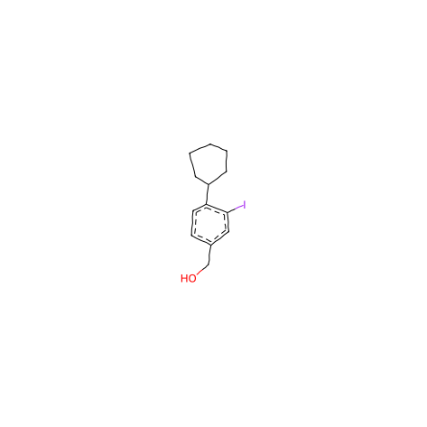 OCc1ccc(C2CCCCC2)c(I)c1